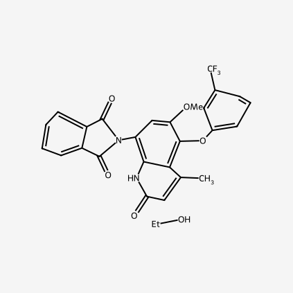 CCO.COc1cc(N2C(=O)c3ccccc3C2=O)c2[nH]c(=O)cc(C)c2c1Oc1cccc(C(F)(F)F)c1